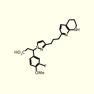 COc1ccc(C(CC(=O)O)n2ccc(CCCc3ccc4c(n3)NCCC4)n2)cc1F